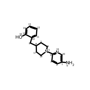 Nc1ccc(N2CCC(Cc3ccccc3O)CC2)nc1